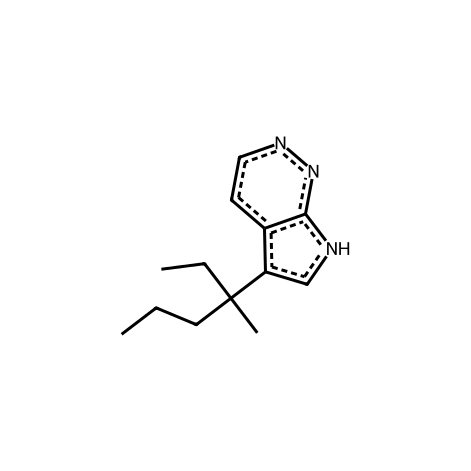 CCCC(C)(CC)c1c[nH]c2nnccc12